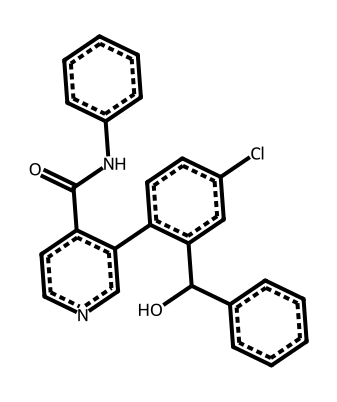 O=C(Nc1ccccc1)c1ccncc1-c1ccc(Cl)cc1C(O)c1ccccc1